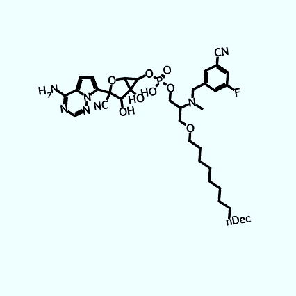 CCCCCCCCCCCCCCCCCCOCC(COP(=O)(O)OC1C2OC(C#N)(c3ccc4c(N)ncnn34)C(O)C21O)N(C)Cc1cc(F)cc(C#N)c1